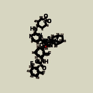 O=S1(=O)CCC(Nc2nccc(-c3sc(N4C5CCC4CN(C4COC4)C5)nc3-c3cccc(NS(=O)(=O)c4c(F)cccc4F)c3F)n2)CC1